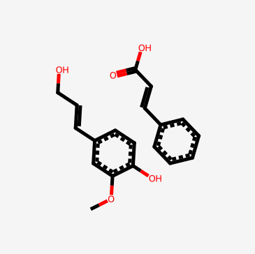 COc1cc(/C=C/CO)ccc1O.O=C(O)C=Cc1ccccc1